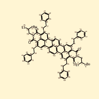 CCCCC(CC)CN1C(=O)c2c(CCc3ccccc3)cc3c4ccc5c6cc(CCc7ccccc7)c7c8c(c(CCc9ccccc9)cc(c9ccc(c%10cc(CCc%11ccccc%11)c(c2c3%10)C1=O)c4c59)c86)C(=O)N(CC(CC)CCCC)C7=O